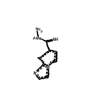 N=C(NN)c1ccn2ccnc2c1